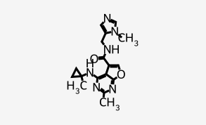 Cc1nc(NC2(C)CC2)c2c(C(=O)NCc3cncn3C)coc2n1